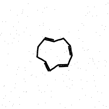 C1=C\C/C=C/CC/C=C/C=C/1